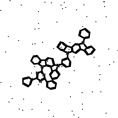 C1=Cc2c(n(-c3nc(-c4ccccc4)nc(-c4ccccc4)n3)c3c2ccc2c3c3ccccc3n2-c2cccc(-n3c4ccccc4c4cc5c(cc43)c3ccccc3n5-c3ccccc3)c2)CC1